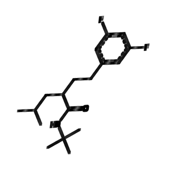 CC(C)CC(CCc1cc(F)cc(F)c1)C(=O)NC(C)(C)C